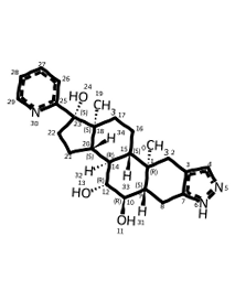 C[C@]12Cc3cn[nH]c3C[C@@H]1[C@@H](O)[C@H](O)[C@@H]1[C@@H]2CC[C@@]2(C)[C@H]1CC[C@@]2(O)c1ccccn1